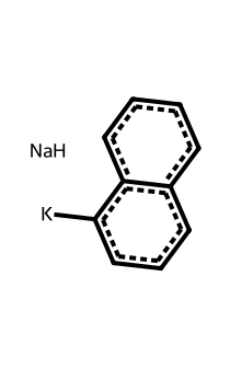 [K][c]1cccc2ccccc12.[NaH]